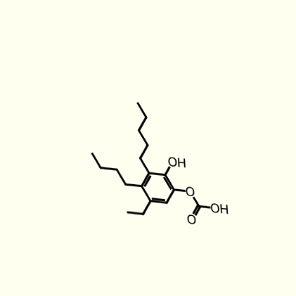 CCCCCc1c(O)c(OC(=O)O)cc(CC)c1CCCC